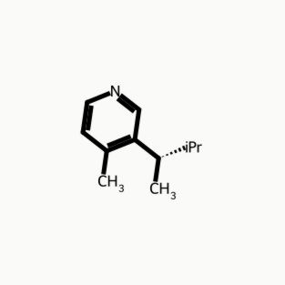 Cc1ccncc1[C@@H](C)C(C)C